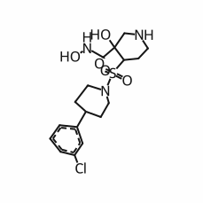 O=C(NO)C1(O)CNCCC1S(=O)(=O)N1CCC(c2cccc(Cl)c2)CC1